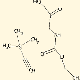 C#C[Si](C)(C)C.CCOC(=O)NCC(=O)O